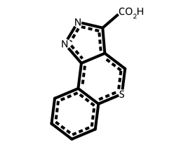 O=C(O)c1nnc2c3ccccc3scc1-2